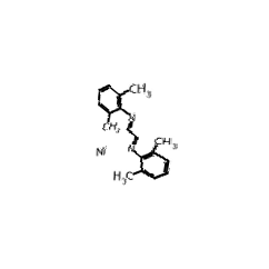 Cc1cccc(C)c1N=CC=Nc1c(C)cccc1C.[Ni]